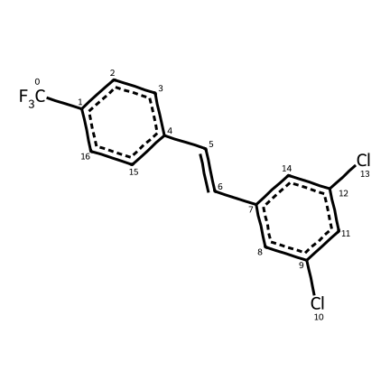 FC(F)(F)c1ccc(C=Cc2cc(Cl)cc(Cl)c2)cc1